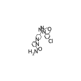 NC(=O)c1cccc(N2CCC(c3nnc4n3-c3ccc(Cl)cc3COC4)CC2)n1